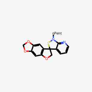 CCCCCN1SC2(COc3cc4c(cc32)OCO4)c2cccnc21